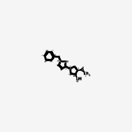 CO[C@@H]1CN(c2ccn(Cc3ccccc3)n2)C[C@@H]1O